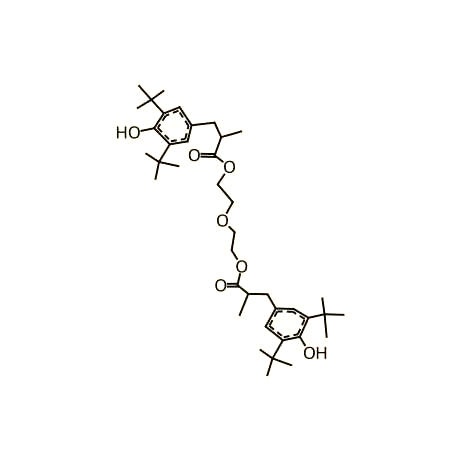 CC(Cc1cc(C(C)(C)C)c(O)c(C(C)(C)C)c1)C(=O)OCCOCCOC(=O)C(C)Cc1cc(C(C)(C)C)c(O)c(C(C)(C)C)c1